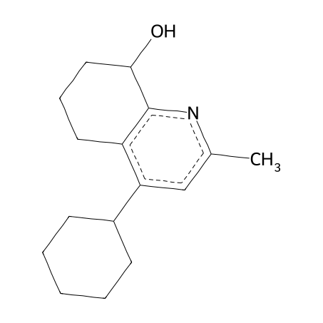 Cc1cc(C2CCCCC2)c2c(n1)C(O)CCC2